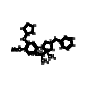 COc1ccc([C@@H]2CN(Cc3cccnc3)C[C@@]2(C)[C@@H](C)O)cc1OC1CCCC1